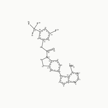 Nc1ncnc2occ(-c3ccc4c(c3)CCN4C(=O)Cc3cc(F)cc(C(F)(F)F)c3)c12